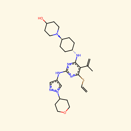 C=CSc1nc(Nc2cnn(C3CCOCC3)c2)nc(N[C@H]2CC[C@H](N3CCC(O)CC3)CC2)c1C(=C)C